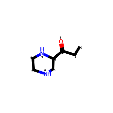 C[CH]C(=O)C1CNCCN1